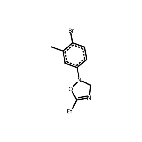 CCC1=NCN(c2ccc(Br)c(C)c2)O1